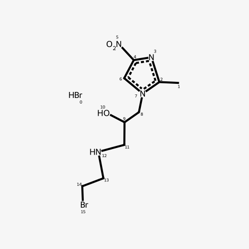 Br.Cc1nc([N+](=O)[O-])cn1CC(O)CNCCBr